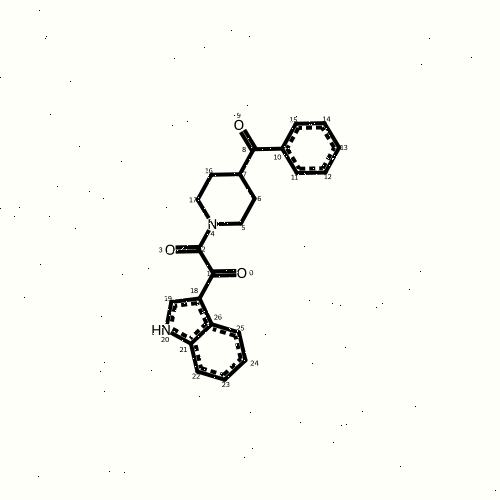 O=C(C(=O)N1CCC(C(=O)c2ccccc2)CC1)c1c[nH]c2ccccc12